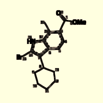 COC(=O)c1ccc2c(C3CCCCC3)c(Br)[nH]c2c1C